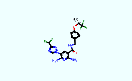 C[C@@H](Oc1ccc(CNC(=O)c2cc(-n3cnc(C(F)F)n3)c(N)nc2N)cc1)C(F)(F)F